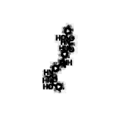 CC(NC(=O)C(O)c1ccccc1)C(=O)Nc1ccc(-c2cc(-c3ccc(NC(=O)C(C)NC(=O)C(O)c4ccccc4)cc3)[nH]n2)cc1